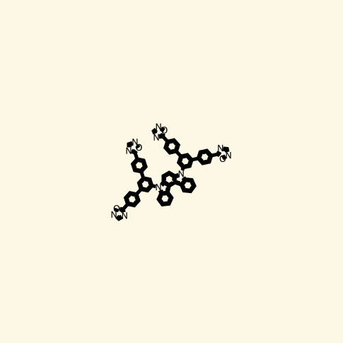 c1ccc2c(c1)c1c3c4ccccc4n(-c4cc(-c5ccc(-c6ncno6)cc5)cc(-c5ccc(-c6ncno6)cc5)c4)c3ccc1n2-c1cc(-c2ccc(-c3ncno3)cc2)cc(-c2ccc(-c3ncno3)cc2)c1